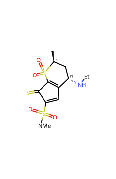 CCN[C@H]1C[C@H](C)S(=O)(=O)C2=C1C=C(S(=O)(=O)NC)C2=S